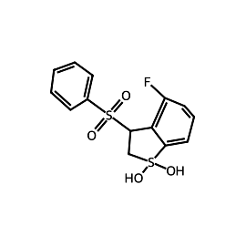 O=S(=O)(c1ccccc1)C1CS(O)(O)c2cccc(F)c21